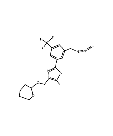 Cc1sc(-c2cc(CN=[N+]=[N-])cc(C(F)(F)F)c2)nc1COC1CCCCO1